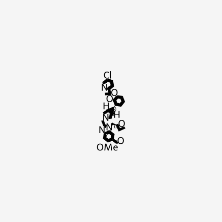 COC(=O)c1ccc2nc(CN3C[C@@H]4[C@H](C3)[C@H]4c3cccc4c3OC(C)(c3ccc(Cl)cn3)O4)n(C[C@@H]3CCO3)c2c1